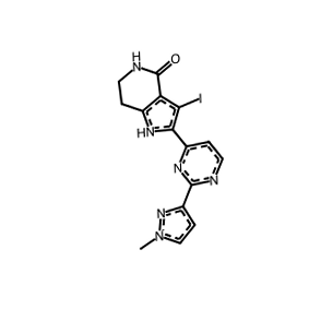 Cn1ccc(-c2nccc(-c3[nH]c4c(c3I)C(=O)NCC4)n2)n1